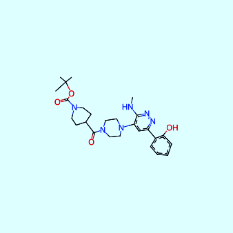 CNc1nnc(-c2ccccc2O)cc1N1CCN(C(=O)C2CCN(C(=O)OC(C)(C)C)CC2)CC1